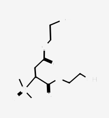 CP(C)(=O)C(CC(=O)OCCO)C(=O)OCCO